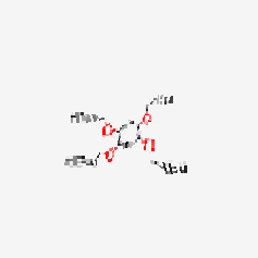 CC(C)(C)COc1cc(OCC(C)(C)C)c(OCC(C)(C)C)cc1OCC(C)(C)C